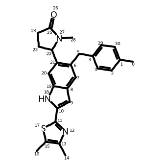 Cc1ccc(Cc2cc3cc(-c4nc(C)c(C)s4)[nH]c3cc2C2CCC(=O)N2C)cc1